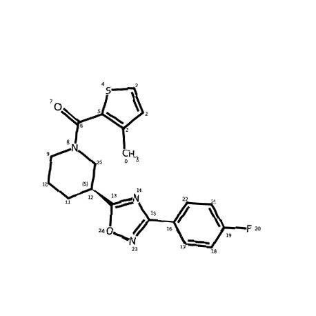 Cc1ccsc1C(=O)N1CCC[C@H](c2nc(-c3ccc(F)cc3)no2)C1